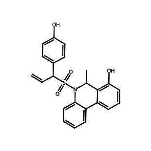 C=CC(c1ccc(O)cc1)S(=O)(=O)N1c2ccccc2-c2cccc(O)c2C1C